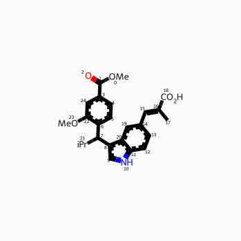 COC(=O)c1ccc(C(c2c[nH]c3ccc(/C=C(\C)C(=O)O)cc23)C(C)C)c(OC)c1